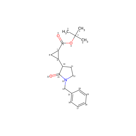 CC(C)(C)OC(=O)C1CC1C1CCN(Cc2ccccc2)C1=O